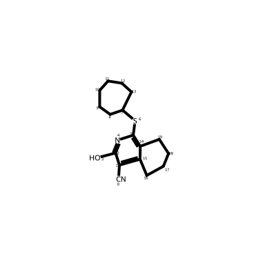 N#Cc1c(O)nc(SC2CCCCCC2)c2c1CCCC2